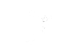 O=C(C[C@H]1CC[C@H](C(=O)O)CC1)N1CCc2c(C(F)(F)F)nn(CCC3CCCCC3)c2C1